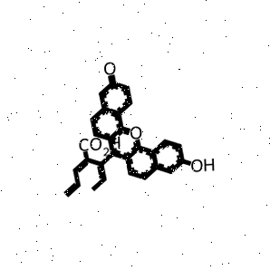 C=C/C=C(C(=O)O)\C(=C/C)c1c2ccc3cc(O)ccc3c2oc2c1ccc1cc(=O)ccc12